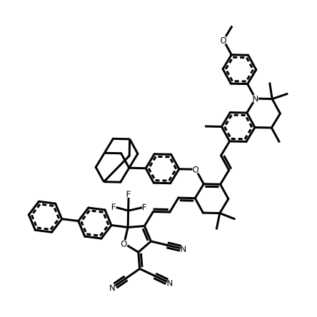 COc1ccc(N2c3cc(C)c(/C=C/C4=C(Oc5ccc(C67CC8CC(CC(C8)C6)C7)cc5)C(=C/C=C/C5=C(C#N)C(=C(C#N)C#N)OC5(c5ccc(-c6ccccc6)cc5)C(F)(F)F)/CC(C)(C)C4)cc3C(C)CC2(C)C)cc1